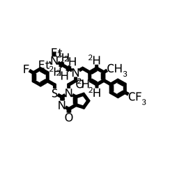 [2H]c1c([2H])c(-c2ccc(C(F)(F)F)cc2)c(C)c([2H])c1CN(C(=O)Cn1c(SCc2ccc(F)cc2)nc(=O)c2c1CCC2)C([2H])([2H])C([2H])([2H])N(CC)CC